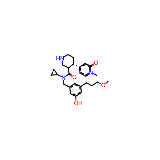 COCCCc1cc(O)cc(CN(C(=O)C2CNCC[C@@H]2c2ccn(C)c(=O)c2)C2CC2)c1